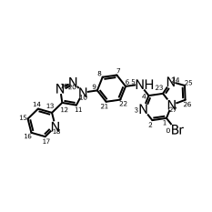 Brc1cnc(Nc2ccc(-n3cc(-c4ccccn4)nn3)cc2)c2nccn12